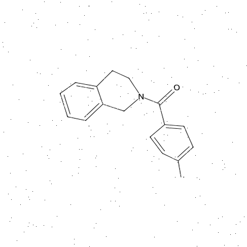 [CH2]c1ccc(C(=O)N2CCc3ccccc3C2)cc1